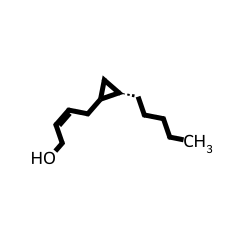 CCCCC[C@H]1CC1C/C=C\CO